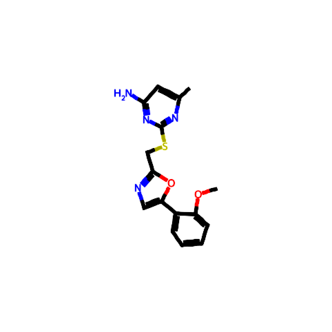 COc1ccccc1-c1cnc(CSc2nc(C)cc(N)n2)o1